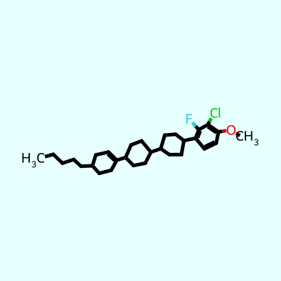 CCCCCC1CC=C(C2CCC(C3CCC(c4ccc(OC)c(Cl)c4F)CC3)CC2)CC1